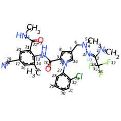 C=N/C(=N\N(C)Cc1cc(C(=O)Nc2c(C)cc(C#N)cc2C(=O)NC)n(-c2ccccc2Cl)c1)C(F)(F)F